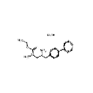 CCOC(=O)[C@H](C)CC(N)Cc1ccc(-c2ccccc2)cc1.[NaH]